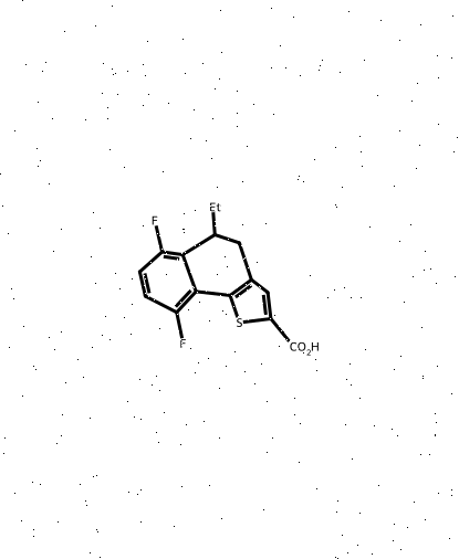 CCC1Cc2cc(C(=O)O)sc2-c2c(F)ccc(F)c21